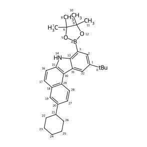 CC(C)(C)c1cc(B2OC(C)(C)C(C)(C)O2)c2[nH]c3ccc4cc(C5CCCCC5)ccc4c3c2c1